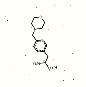 N[C@@H](Cc1ccc(CN2CCOCC2)cc1)C(=O)O